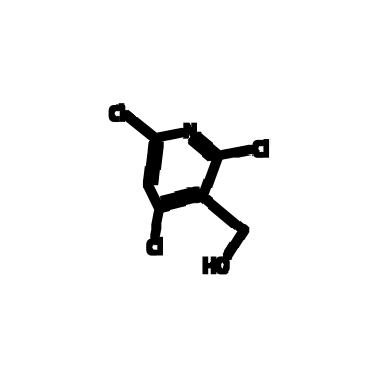 OCc1c(Cl)cc(Cl)nc1Cl